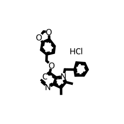 Cc1c(C)n(Cc2ccccc2)c2c(OCc3ccc4c(c3)OCO4)ccnc12.Cl